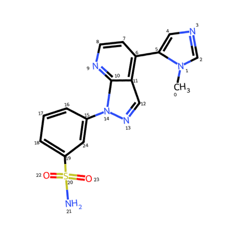 Cn1cncc1-c1ccnc2c1cnn2-c1cccc(S(N)(=O)=O)c1